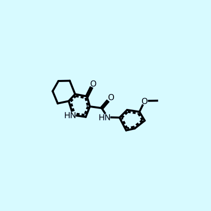 COc1cccc(NC(=O)c2c[nH]c3c(c2=O)CCCC3)c1